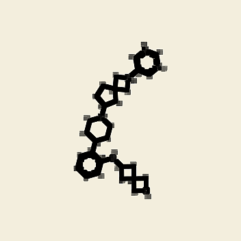 c1ccc(C2CCN(C3CCC4(C3)CN(c3cncnc3)C4)CC2)c(OC2CC3(COC3)C2)c1